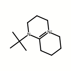 CC(C)(C)N1CCC[N+]2=C1CCCC2